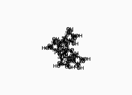 CC(C(=O)NCC(=O)NCC(CNC(=O)CNC(=O)C(C)N1CCN(CC(=O)O)CCN(CC(=O)O)CCN(CC(=O)O)CC1)(CNC(=O)CNC(=O)C(C)N1CCN(CC(=O)O)CCN(CC(=O)O)CCN(CC(O)O)CC1)CNC(=O)CNC(O)C(C)N1CCN(CC(=O)O)CCN(CC(=O)O)CCN(CC(=O)O)CC1)N1CCN(CC(=O)O)CCN(CC(=O)O)CCN(CC(=O)O)CC1